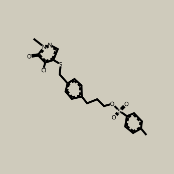 Cc1ccc(S(=O)(=O)OCCCc2ccc(CSc3cnn(C)c(=O)c3Cl)cc2)cc1